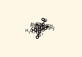 Cc1cc(C(C)(C)C)cc(C)c1N1c2cc(-c3cc4ccccc4o3)ccc2B2c3oc4ccc(C(C)(C)C)cc4c3N(c3c(C)cc(-c4coc5ccccc45)cc3C)c3cc(C(C)(C)C)cc1c32